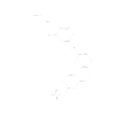 C[C@@H](Oc1ccc(C(C)(C)c2cc(Cl)c(OCCCl)c(Cl)c2)cc1)c1ccnc(NS(C)(=O)=O)n1